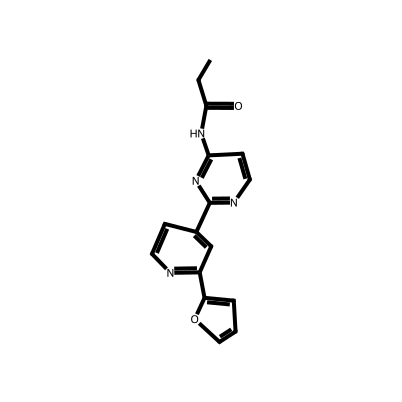 CCC(=O)Nc1ccnc(-c2ccnc(-c3ccco3)c2)n1